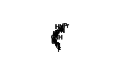 CC(C)Nc1cncc(-c2ccc3nnc(NC(=O)c4cn(C5CCN(CCF)CC5)nn4)cc3c2)n1